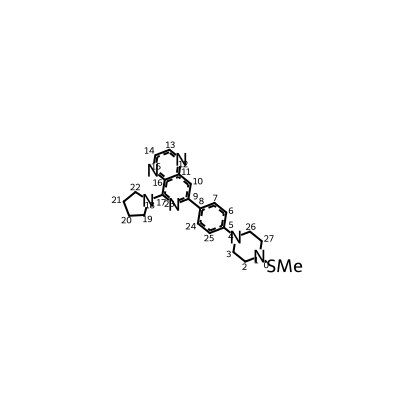 CSN1CCN(c2ccc(-c3cc4nccnc4c(N4CCCC4)n3)cc2)CC1